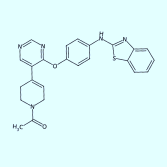 CC(=O)N1CC=C(c2cncnc2Oc2ccc(Nc3nc4ccccc4s3)cc2)CC1